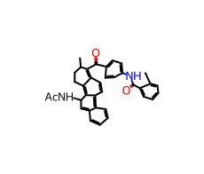 CC(=O)NC1C=c2ccccc2=c2ccc3c(c21)CCC(C)C=3C(=O)c1ccc(NC(=O)c2ccccc2C)cc1